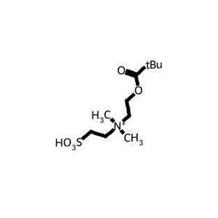 CC(C)(C)C(=O)OCC[N+](C)(C)CCS(=O)(=O)O